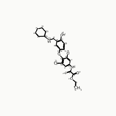 CCOC(=O)C(=O)Nc1cc(Cl)c(Oc2ccc(O)c(CNC3CCCCC3)c2)c(Cl)c1